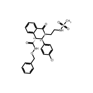 CS(=O)(=O)NCCN1C(=O)c2ccccc2[C@@H](C(=O)NOCc2ccccc2)[C@@H]1c1ccc(Cl)cc1